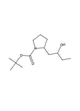 CCC(O)CC1CCCN1C(=O)OC(C)(C)C